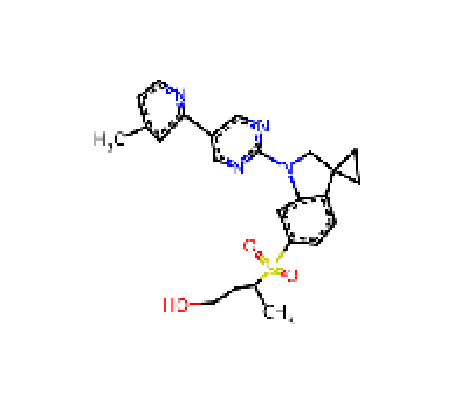 Cc1ccnc(-c2cnc(N3CC4(CC4)c4ccc(S(=O)(=O)C(C)CCO)cc43)nc2)c1